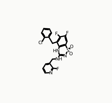 O=S1(=O)N=C(NCc2cccnc2F)Nc2c1cc(F)c(F)c2Cc1ccccc1Cl